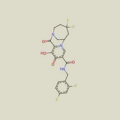 O=C(NCc1ccc(F)cc1F)c1cn2c(c(O)c1=O)C(=O)N1CCC(F)(F)CC2C1